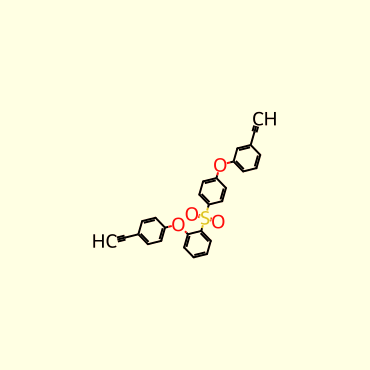 C#Cc1ccc(Oc2ccccc2S(=O)(=O)c2ccc(Oc3cccc(C#C)c3)cc2)cc1